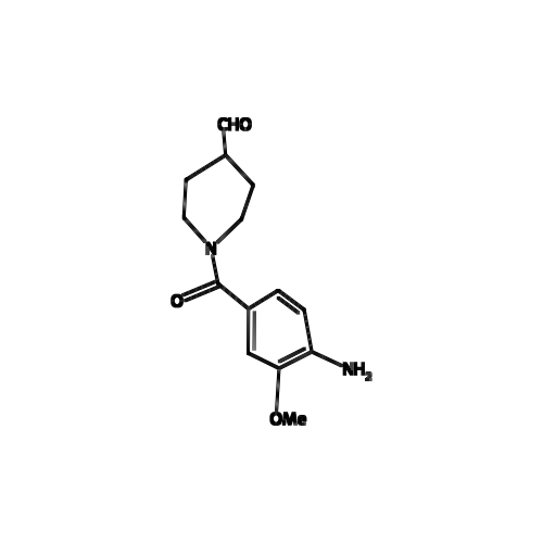 COc1cc(C(=O)N2CCC(C=O)CC2)ccc1N